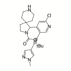 Cn1cc(C#Cc2cnc(Cl)cc2C2N(C(=O)OC(C)(C)C)CCC23CCNCC3)cn1